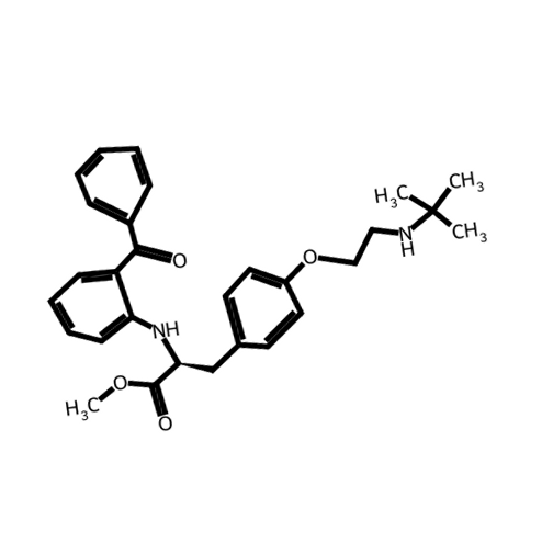 COC(=O)[C@H](Cc1ccc(OCCNC(C)(C)C)cc1)Nc1ccccc1C(=O)c1ccccc1